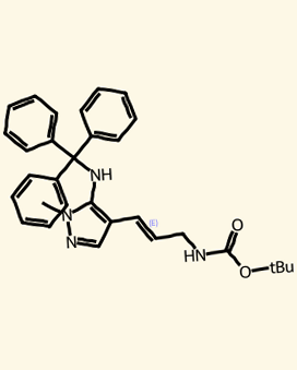 Cn1ncc(/C=C/CNC(=O)OC(C)(C)C)c1NC(c1ccccc1)(c1ccccc1)c1ccccc1